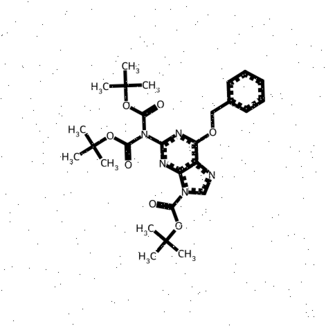 CC(C)(C)OC(=O)N(C(=O)OC(C)(C)C)c1nc(OCc2ccccc2)c2ncn(C(=O)OC(C)(C)C)c2n1